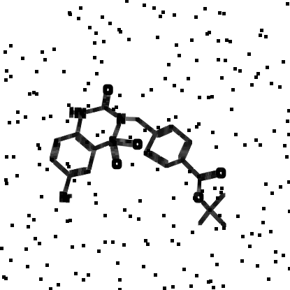 CC(C)(C)OC(=O)c1ccc(CN2C(=O)Nc3ccc(Br)cc3S2(=O)=O)cc1